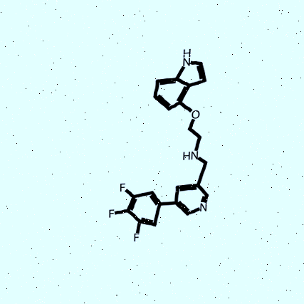 Fc1cc(-c2cncc(CNCCOc3cccc4[nH]ccc34)c2)cc(F)c1F